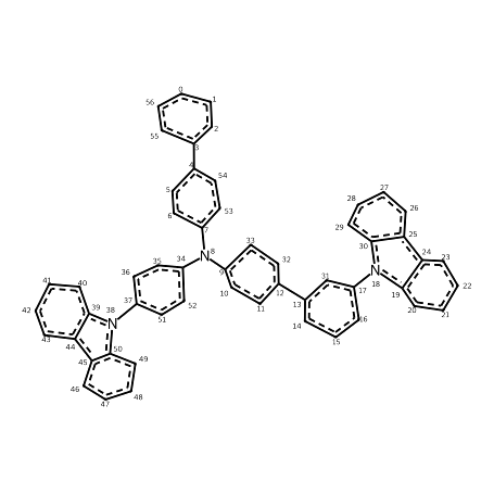 c1ccc(-c2ccc(N(c3ccc(-c4cccc(-n5c6ccccc6c6ccccc65)c4)cc3)c3ccc(-n4c5ccccc5c5ccccc54)cc3)cc2)cc1